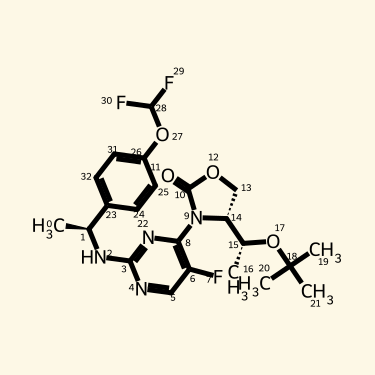 C[C@H](Nc1ncc(F)c(N2C(=O)OC[C@@H]2[C@@H](C)OC(C)(C)C)n1)c1ccc(OC(F)F)cc1